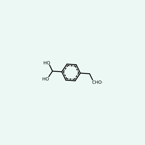 O=[C]Cc1ccc(C(O)O)cc1